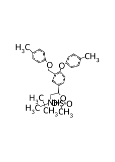 Cc1ccc(OCc2cc(C(CNC(C)(C)C)OS(C)(=O)=O)ccc2Oc2ccc(C)cc2)cc1